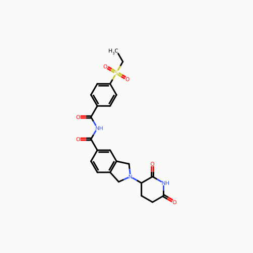 CCS(=O)(=O)c1ccc(C(=O)NC(=O)c2ccc3c(c2)CN(C2CCC(=O)NC2=O)C3)cc1